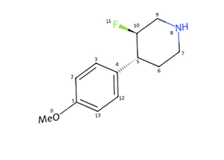 COc1ccc([C@H]2CCNC[C@@H]2F)cc1